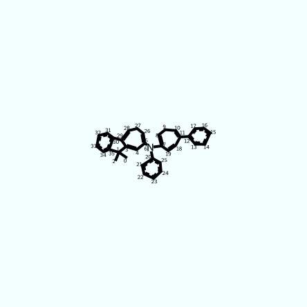 CC1(C)C2=CC(N(C3=CCC=C(c4ccccc4)C=C3)c3ccccc3)=CCC=C2c2ccccc21